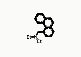 CCN(CC)Cc1cccc2ccc3ccccc3c12